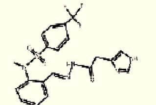 CN(c1ccccc1C=NNC(=O)Cc1c[nH]cn1)S(=O)(=O)c1ccc(C(F)(F)F)cc1